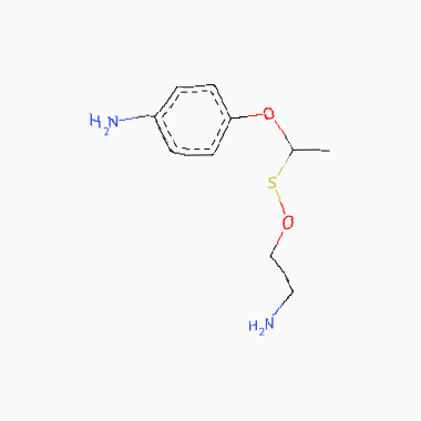 CC(Oc1ccc(N)cc1)SOCCN